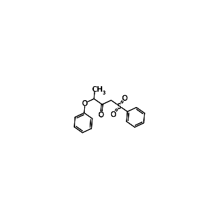 CC(Oc1ccccc1)C(=O)CS(=O)(=O)c1ccccc1